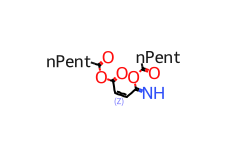 CCCCCC(=O)OC(=N)/C=C\C(=O)OC(=O)CCCCC